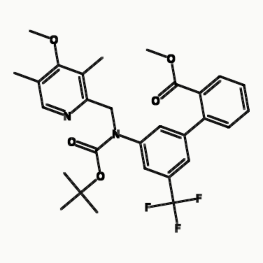 COC(=O)c1ccccc1-c1cc(N(Cc2ncc(C)c(OC)c2C)C(=O)OC(C)(C)C)cc(C(F)(F)F)c1